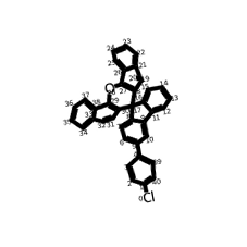 Clc1ccc(-c2ccc3c(c2)-c2ccccc2C32c3ccc4ccccc4c3Oc3c2ccc2ccccc32)cc1